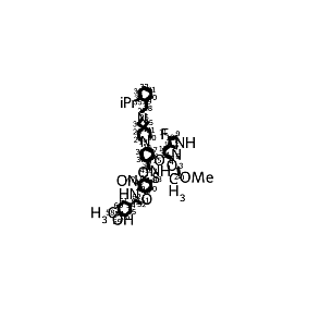 COC(C)COc1nc2[nH]cc(F)c2cc1Oc1cc(N2CCC3(CC2)CN(CCc2ccccc2C(C)C)C3)ccc1C(=O)NSc1cc(N=O)c2c(c1)OCC([C@H]1CC[C@](C)(O)CC1)N2